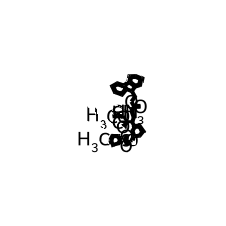 Cc1ccc(S(=O)(=O)Oc2cccc(C(CNC(=O)OCC3c4ccccc4-c4ccccc43)C(=O)OC(C)(C)C)c2)cc1